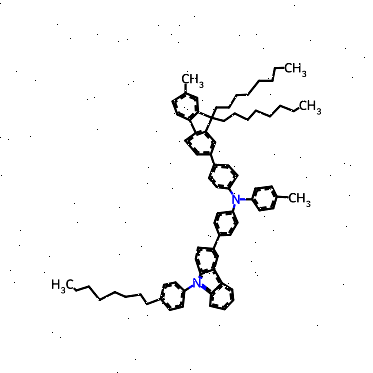 CCCCCCCCc1ccc(-n2c3ccccc3c3cc(-c4ccc(N(c5ccc(C)cc5)c5ccc(-c6ccc7c(c6)C(CCCCCCCC)(CCCCCCCC)c6cc(C)ccc6-7)cc5)cc4)ccc32)cc1